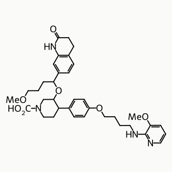 COCCCC(OC1CN(C(=O)O)CCC1c1ccc(OCCCCNc2ncccc2OC)cc1)c1ccc2c(c1)NC(=O)CC2